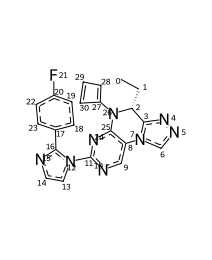 CC[C@@H]1c2nncn2-c2cnc(-n3ccnc3-c3ccc(F)cc3)nc2N1C1=CC=C1